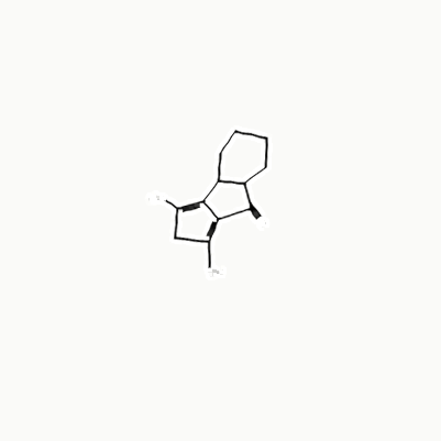 CC(C)(C)C1=C2C(=O)C3CCCCC3C2=C(C(C)(C)C)C1